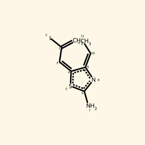 C=C(I)/C=c1/sc(N)n/c1=C/C